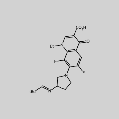 CCn1cc(C(=O)O)c(=O)c2cc(F)c(N3CCC(N=CC(C)(C)C)C3)c(F)c21